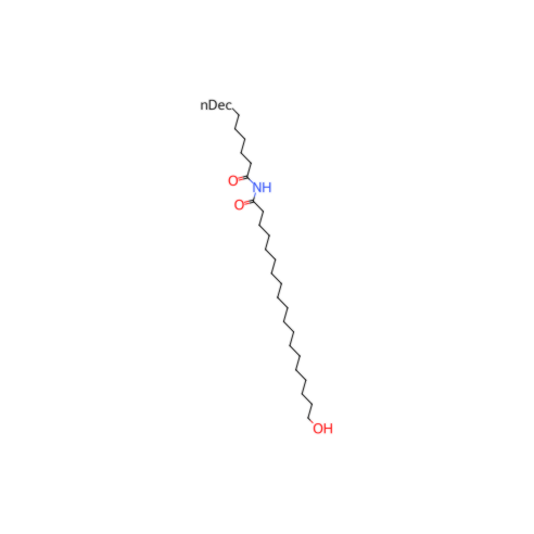 CCCCCCCCCCCCCCCC(=O)NC(=O)CCCCCCCCCCCCCCCCCCO